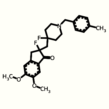 COc1cc2c(cc1OC)C(=O)C(F)(CC1(F)CCN(Cc3ccc(C)cc3)CC1)C2